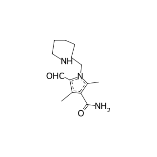 Cc1c(C(N)=O)c(C)n(CC2CCCCN2)c1C=O